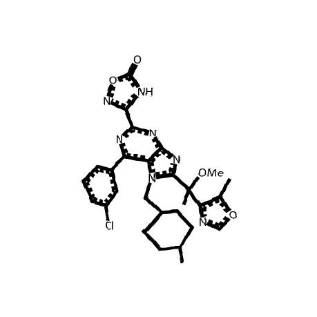 COC(C)(c1ncoc1C)c1nc2nc(-c3noc(=O)[nH]3)nc(-c3cccc(Cl)c3)c2n1CC1CCC(C)CC1